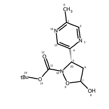 Cc1cnc([C@@H]2CC(O)ON2C(=O)OC(C)(C)C)cn1